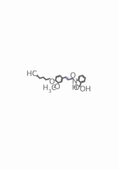 C#CCCCCOC1C=CC(/C=C/C(=O)Nc2ccccc2C(=O)O)=CC1OC